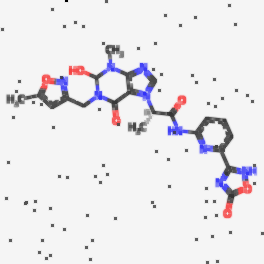 Cc1cc(CN2C(=O)c3c(ncn3[C@@H](C)C(=O)Nc3cccc(-c4nc(=O)o[nH]4)n3)N(C)C2O)no1